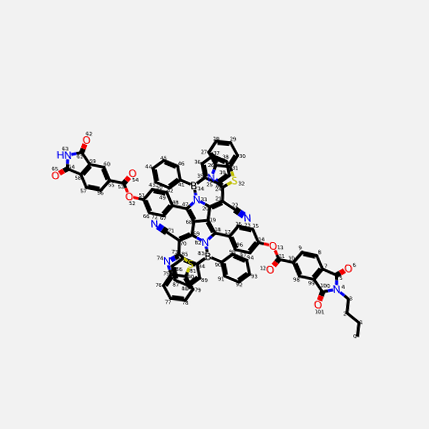 CCCCN1C(=O)c2ccc(C(=O)Oc3ccc(-c4c5/c(=C(\C#N)c6nc7ccccc7s6)n(B(c6ccccc6)c6ccccc6)c(-c6ccc(OC(=O)c7ccc8c(c7)C(=O)NC8=O)cc6)c5/c(=C(\C#N)c5nc6ccccc6s5)n4B(c4ccccc4)c4ccccc4)cc3)cc2C1=O